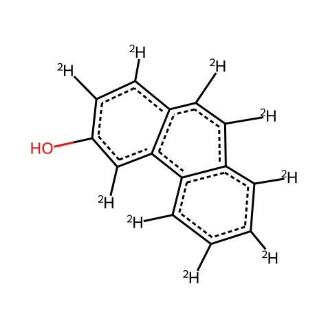 [2H]c1c([2H])c([2H])c2c(c1[2H])c([2H])c([2H])c1c([2H])c([2H])c(O)c([2H])c12